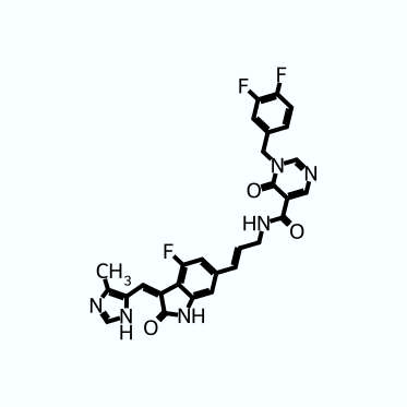 Cc1nc[nH]c1C=C1C(=O)Nc2cc(/C=C/CNC(=O)c3cncn(Cc4ccc(F)c(F)c4)c3=O)cc(F)c21